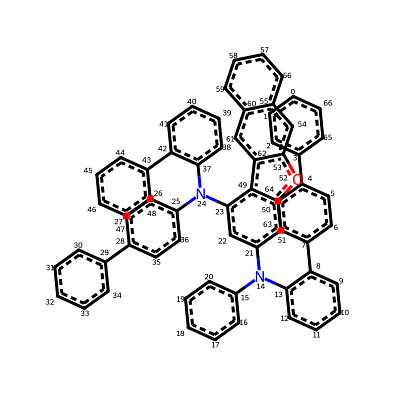 c1ccc(-c2ccc(-c3ccccc3N(c3ccccc3)c3cc(N(c4ccc(-c5ccccc5)cc4)c4ccccc4-c4ccccc4)c4c(c3)oc3cc5ccccc5cc34)cc2)cc1